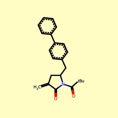 C=C1CC(Cc2ccc(-c3ccccc3)cc2)N(C(=O)C(C)(C)C)C1=O